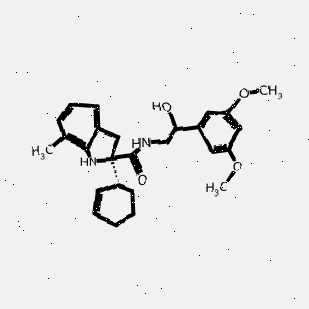 COc1cc(OC)cc(C(O)CNC(=O)C2([C@H]3C=CCCC3)Cc3cccc(C)c3N2)c1